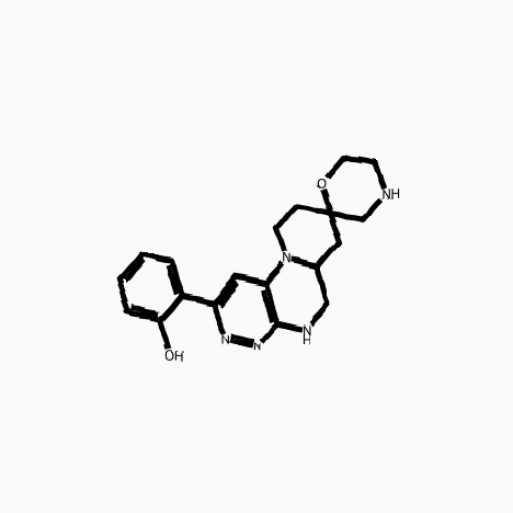 Oc1ccccc1-c1cc2c(nn1)NCC1CC3(CCN21)CNCCO3